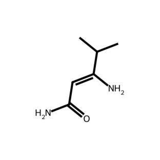 CC(C)C(N)=CC(N)=O